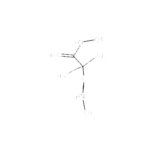 C=C(NC)C(C)(C)CNC